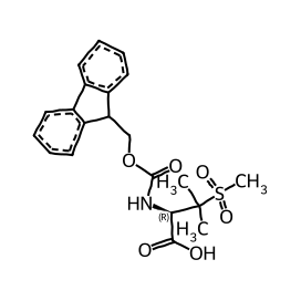 CC(C)([C@H](NC(=O)OCC1c2ccccc2-c2ccccc21)C(=O)O)S(C)(=O)=O